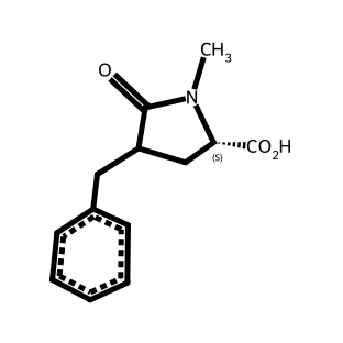 CN1C(=O)C(Cc2ccccc2)C[C@H]1C(=O)O